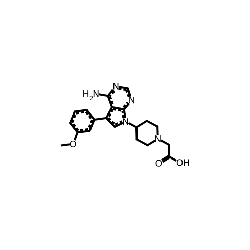 COc1cccc(-c2cn(C3CCN(CC(=O)O)CC3)c3ncnc(N)c23)c1